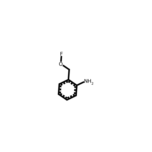 Nc1ccccc1COF